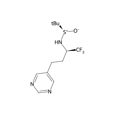 CC(C)(C)[S@@+]([O-])N[C@H](CCc1cncnc1)C(F)(F)F